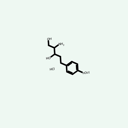 CCCCCCCCc1ccc(CCC(O)C(N)CO)cc1.Cl